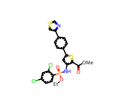 CCOP(=O)(Nc1cc(-c2ccc(-c3cscn3)cc2)sc1C(=O)OC)c1ccc(Cl)cc1Cl